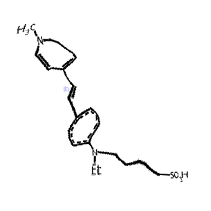 CCN(CCCCS(=O)(=O)O)c1ccc(/C=C/C2=CCN(C)C=C2)cc1